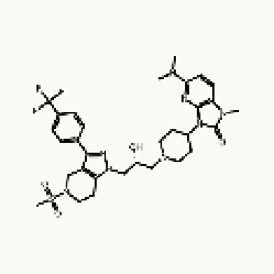 CN(C)c1ccc2c(n1)n(C1CCN(C[C@@H](O)Cn3nc(-c4ccc(C(F)(F)F)cc4)c4c3CCN(S(C)(=O)=O)C4)CC1)c(=O)n2C